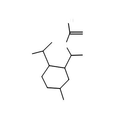 CC1CCC(C(C)C)C(C(C)OC(=O)O)C1